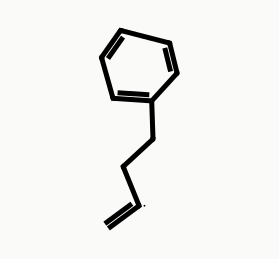 C=[C]CCc1ccccc1